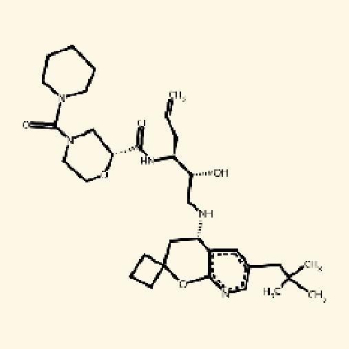 C=CC[C@H](NC(=O)[C@H]1CN(C(=O)N2CCCCC2)CCO1)[C@H](O)CN[C@H]1CC2(CCC2)Oc2ncc(CC(C)(C)C)cc21